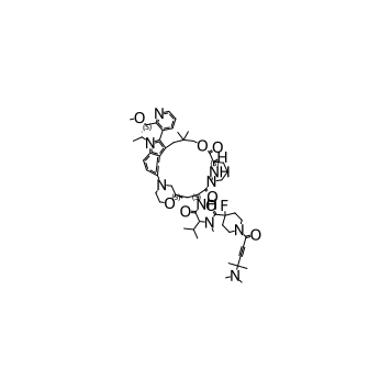 CCn1c(-c2cccnc2[C@H](C)OC)c2c3cc(ccc31)N1CCO[C@@](C)(C[C@H](NC(=O)C(C(C)C)N(C)C(=O)C3(F)CCN(C(=O)C#CC(C)(C)N(C)C)CC3)C(=O)N3CCC[C@H](N3)C(=O)OCC(C)(C)C2)C1